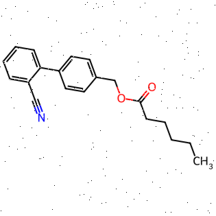 CCCCCC(=O)OCc1ccc(-c2ccccc2C#N)cc1